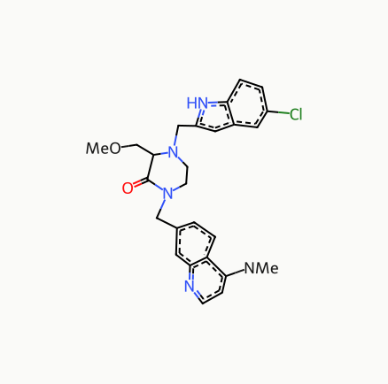 CNc1ccnc2cc(CN3CCN(Cc4cc5cc(Cl)ccc5[nH]4)C(COC)C3=O)ccc12